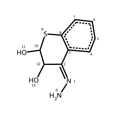 NN=C1c2ccccc2SC(O)C1O